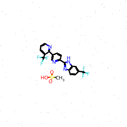 CS(=O)(=O)O.FC(F)(F)c1ccc2nc(-c3ccc(-c4ncccc4C(F)(F)F)cn3)[nH]c2c1